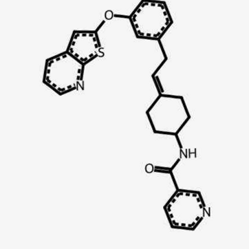 O=C(NC1CCC(=CCc2cccc(Oc3cc4cccnc4s3)c2)CC1)c1cccnc1